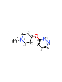 CC(C)N1CCC(Oc2cccnn2)CC1